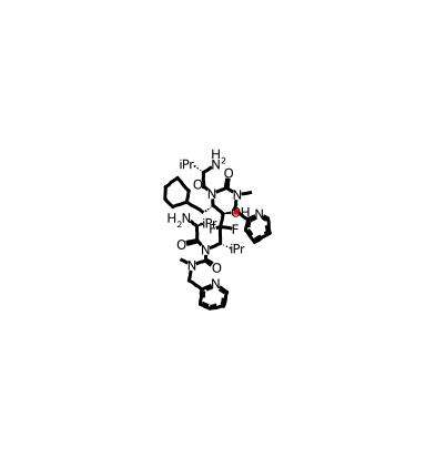 CC(C)[C@H](N)C(=O)N(C(=O)N(C)Cc1ccccn1)[C@@H](C(C)C)C(F)(F)[C@H](O)[C@H](CC1CCCCC1)N(C(=O)[C@@H](N)C(C)C)C(=O)N(C)Cc1ccccn1